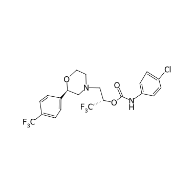 O=C(Nc1ccc(Cl)cc1)O[C@@H](CN1CCO[C@H](c2ccc(C(F)(F)F)cc2)C1)C(F)(F)F